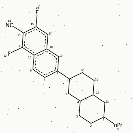 CCCC1CCC2CC(c3ccc4c(F)c(C#N)c(F)cc4c3)CCC2C1